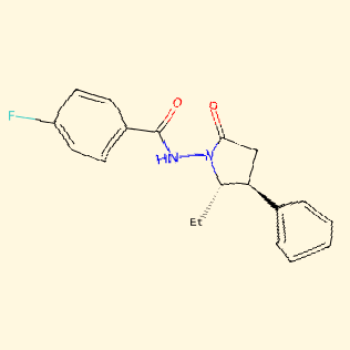 CC[C@H]1[C@H](c2ccccc2)CC(=O)N1NC(=O)c1ccc(F)cc1